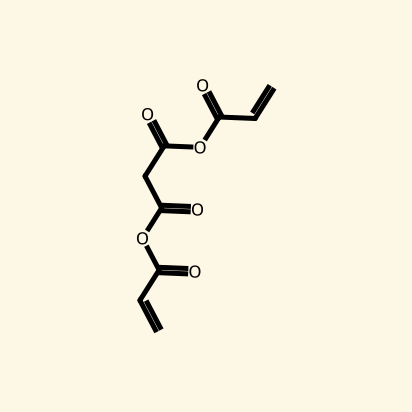 C=CC(=O)OC(=O)CC(=O)OC(=O)C=C